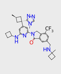 Cn1cnnc1[C@]1(c2cc(NC3CCC3)nc(N3Cc4c(cc(CNC5(C)CCC5)cc4C(F)(F)F)C3=O)c2)C[C@@H](C)C1